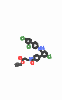 CC(C)(C)OC(=O)CCNC(=O)c1ccc(-c2cc(Cl)ccc2CNc2ccc(-c3ccc(Cl)cc3Cl)cc2)cc1